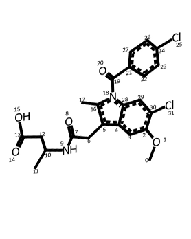 COc1cc2c(CC(=O)NC(C)CC(=O)O)c(C)n(C(=O)c3ccc(Cl)cc3)c2cc1Cl